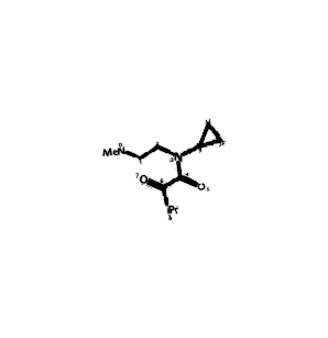 CNCCN(C(=O)C(=O)C(C)C)C1CC1